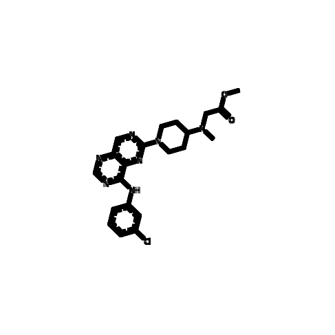 COC(=O)CN(C)C1CCN(c2ncc3ncnc(Nc4cccc(Cl)c4)c3n2)CC1